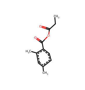 CCC(=O)OC(=O)c1ccc(C)cc1C